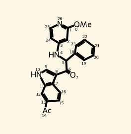 COc1cc(NC(C(=O)c2c[nH]c3cc(C(C)=O)ccc23)c2ccccc2)ccn1